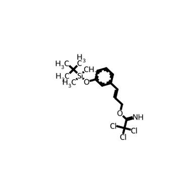 CC(C)(C)[Si](C)(C)Oc1cccc(C=CCOC(=N)C(Cl)(Cl)Cl)c1